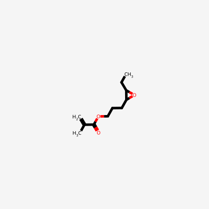 C=C(C)C(=O)OCCCC1OC1CC